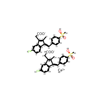 CC1=C(CC(=O)[O-])c2cc(F)ccc2/C1=C/c1ccc(S(C)(=O)=O)cc1.CC1=C(CC(=O)[O-])c2cc(F)ccc2/C1=C/c1ccc(S(C)(=O)=O)cc1.[Ca+2]